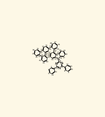 c1ccc(-c2nc(-c3ccccc3)nc(-n3c4ccccc4c4c(-c5ccccc5-c5ccc6c7ccccc7c7ccccc7c6c5)cccc43)n2)cc1